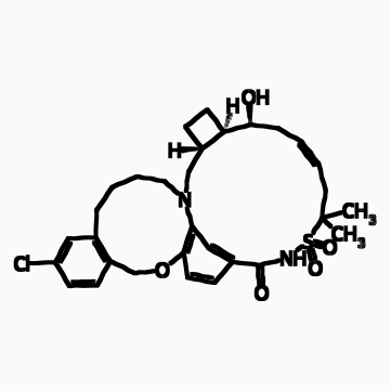 CC1(C)C/C=C\C[C@H](O)[C@@H]2CC[C@H]2CN2CCCCc3cc(Cl)ccc3COc3ccc(cc32)C(=O)NS1(=O)=O